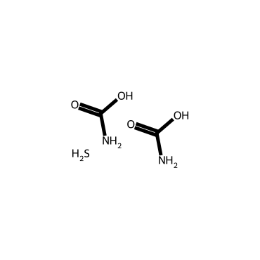 NC(=O)O.NC(=O)O.S